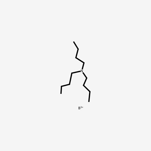 CCCCN(CCCC)CCCC.[B+3]